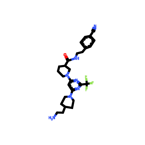 N#Cc1ccc(CCNC(=O)C2CCCN(c3cc(N4CCC(CCN)CC4)nc(C(F)(F)F)n3)C2)cc1